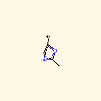 [2H]c1c[nH]c(C)n1